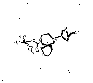 CC(C)(C)OC(=O)N1CCN(c2ccc(Cl)nn2)CC12CCOC2